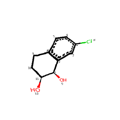 O[C@@H]1c2cc(Cl)ccc2CC[C@@H]1O